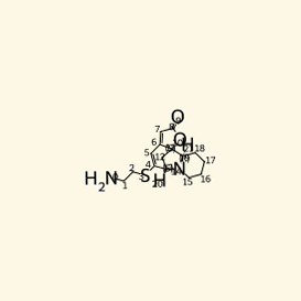 NCCSC1=CC2=CC(=O)O[C@@]23C[C@@H]1N1CCCC[C@@H]13